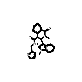 CN1C(=O)c2ccccc2C(C(=O)NCc2cccs2)C1c1cn(C)c2ccccc12